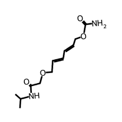 CC(C)NC(=O)COC/C=C/C=C/COC(N)=O